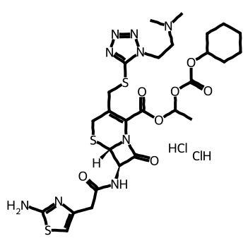 CC(OC(=O)OC1CCCCC1)OC(=O)C1=C(CSc2nnnn2CCN(C)C)CS[C@H]2[C@H](NC(=O)Cc3csc(N)n3)C(=O)N12.Cl.Cl